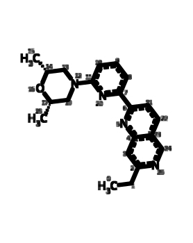 CCc1cc2nc(-c3cccc(N4C[C@@H](C)O[C@@H](C)C4)n3)ccc2cn1